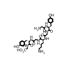 NCCCC[C@H](NC(=O)CNC(=O)[C@H](Cc1ccc(O)cc1)NC(=O)CN)C(=O)NCC(=O)N[C@@H](Cc1ccc(O)cc1)C(=O)NCC(=O)O